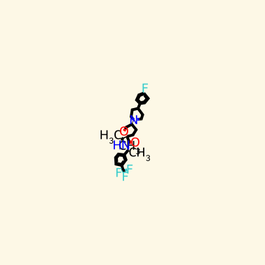 CC(C)[C@]1(C(=O)N[C@H](C)c2cccc(C(F)(F)F)c2)CC[C@@H](N2CCC(c3ccc(F)cc3)CC2)CO1